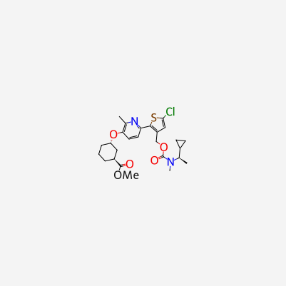 COC(=O)[C@H]1CCC[C@H](Oc2ccc(-c3sc(Cl)cc3COC(=O)N(C)[C@H](C)C3CC3)nc2C)C1